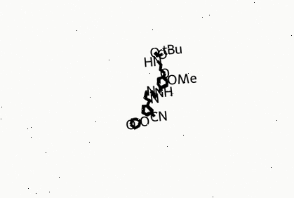 COc1cc(Nc2nccc(-c3ccc(OC4CCOCC4)c(C#N)c3)n2)ccc1OCCNC(=O)OC(C)(C)C